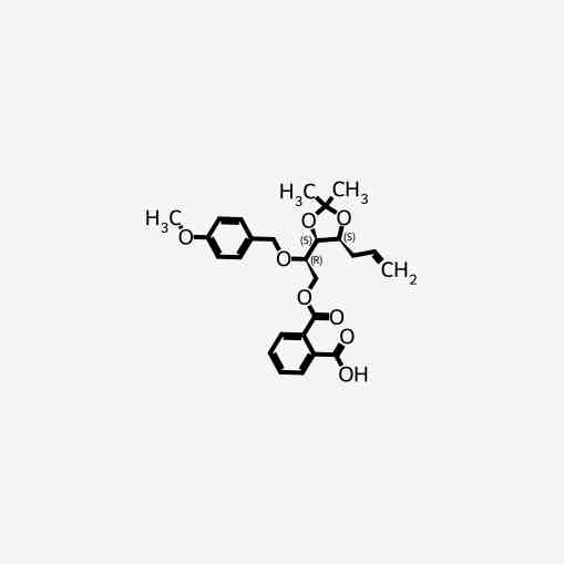 C=CC[C@@H]1OC(C)(C)O[C@@H]1[C@@H](COC(=O)c1ccccc1C(=O)O)OCc1ccc(OC)cc1